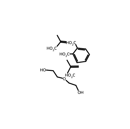 C=C(C)C(=O)O.C=C(C)C(=O)O.O=C(O)c1ccccc1C(=O)O.OCCOCCO